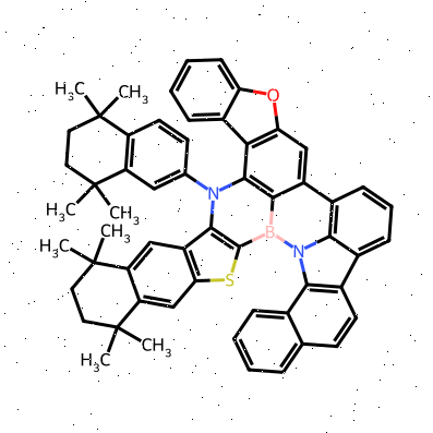 CC1(C)CCC(C)(C)c2cc(N3c4c(sc5cc6c(cc45)C(C)(C)CCC6(C)C)B4c5c(cc6oc7ccccc7c6c53)-c3cccc5c6ccc7ccccc7c6n4c35)ccc21